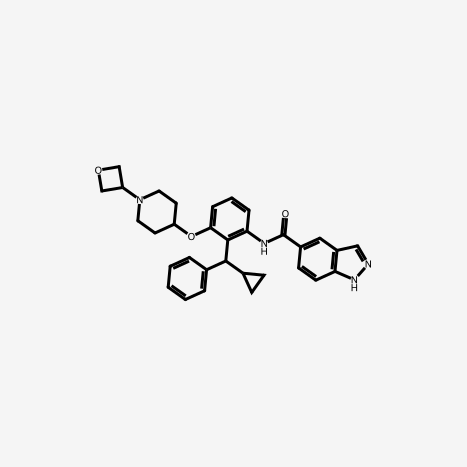 O=C(Nc1cccc(OC2CCN(C3COC3)CC2)c1C(c1ccccc1)C1CC1)c1ccc2[nH]ncc2c1